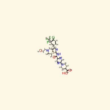 CCC(C)N(CCOC)Cc1sc(NC(=O)c2cnc(N3CCC(C(=O)O)CC3)cn2)nc1-c1ccc(Cl)c(C(F)(F)F)c1